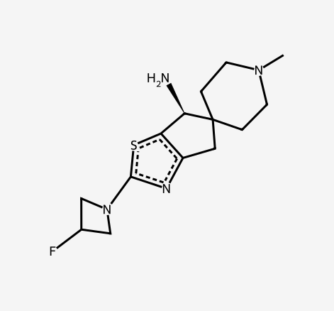 CN1CCC2(CC1)Cc1nc(N3CC(F)C3)sc1[C@H]2N